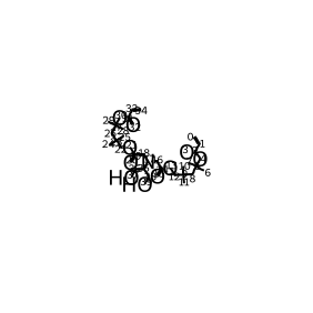 C=CC(=O)OC(C)(C)CC(C)(C)COC(=O)CN(CC(=O)OCC(C)(C)CC(C)(C)OC(=O)C=C)C(CO)CO